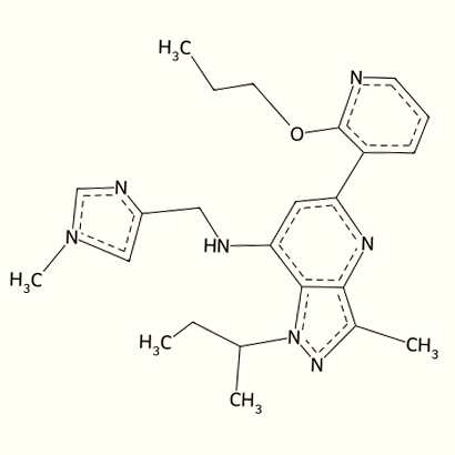 CCCOc1ncccc1-c1cc(NCc2cn(C)cn2)c2c(n1)c(C)nn2C(C)CC